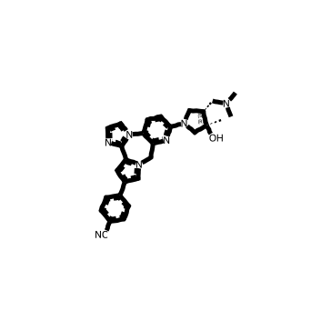 CN(C)C[C@H]1CN(c2ccc3c(n2)Cn2cc(-c4ccc(C#N)cc4)cc2-c2nccn2-3)C[C@]1(C)O